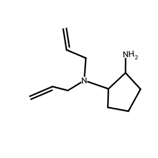 C=CCN(CC=C)C1CCCC1N